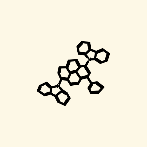 c1ccc(-c2cc(-n3c4ccccc4c4ccccc43)c3ccc4ccc(-n5c6ccccc6c6ccccc65)c5ccc2c3c45)cc1